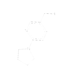 ICc1ccc(N2CCCC2)nc1